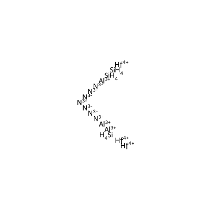 [Al+3].[Al+3].[Al+3].[Hf+4].[Hf+4].[Hf+4].[N-3].[N-3].[N-3].[N-3].[N-3].[N-3].[N-3].[SiH4].[SiH4].[SiH4]